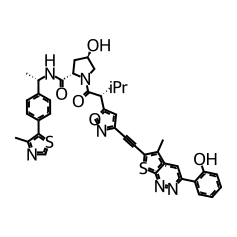 Cc1ncsc1-c1ccc([C@H](C)NC(=O)[C@@H]2C[C@@H](O)CN2C(=O)[C@@H](c2cc(C#Cc3sc4nnc(-c5ccccc5O)cc4c3C)no2)C(C)C)cc1